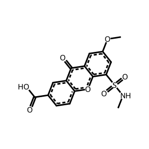 CNS(=O)(=O)c1cc(OC)cc2c(=O)c3cc(C(=O)O)ccc3oc12